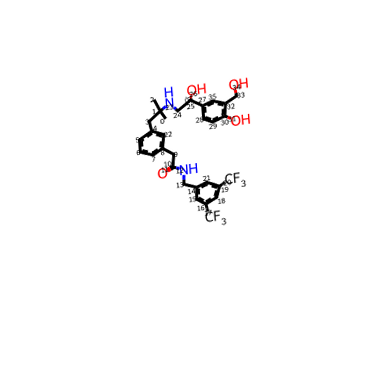 CC(C)(Cc1cccc(CC(=O)NCc2cc(C(F)(F)F)cc(C(F)(F)F)c2)c1)NC[C@@H](O)c1ccc(O)c(CO)c1